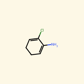 NC1=C[CH]CC=C1Cl